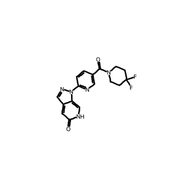 O=C(c1ccc(-n2ncc3cc(=O)[nH]cc32)nc1)N1CCC(F)(F)CC1